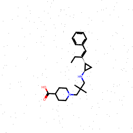 CC/C(=C\c1ccccc1)[C@@H]1C[C@H]1NCC(C)(C)CN1CCC(C(=O)O)CC1